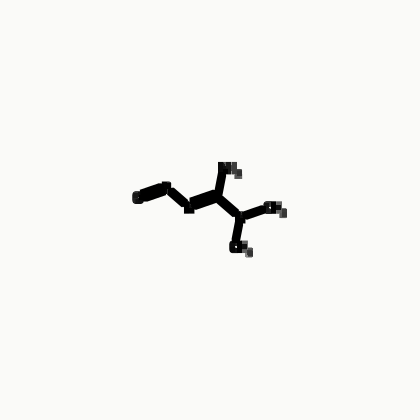 CN(C)C(N)=NP=O